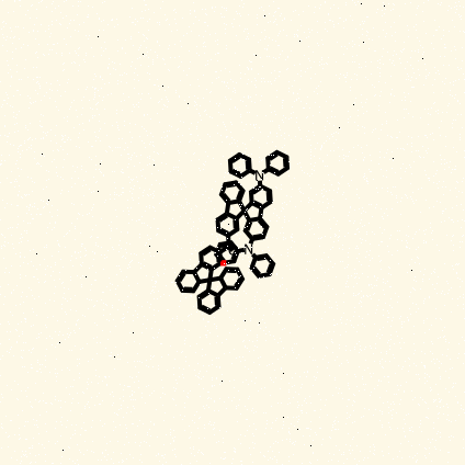 O=C(c1ccc2c(c1)C1(c3ccccc3-2)c2cc(N(c3ccccc3)c3ccccc3)ccc2-c2ccc(N(c3ccccc3)c3ccccc3)cc21)c1ccc2c(c1)C1(c3ccccc3C3C=CC=CC31)C1C=CC=CC21